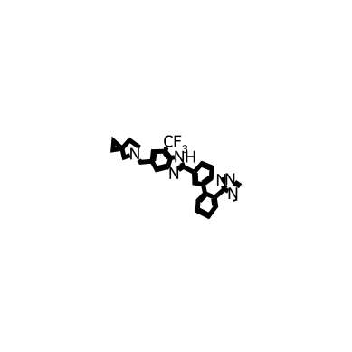 Cn1cnnc1-c1ccccc1-c1cccc(-c2nc3cc(CN4CCC5(CC5)C4)cc(C(F)(F)F)c3[nH]2)c1